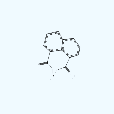 [O]N1C(=O)c2cccc3cccc(c23)C1=O